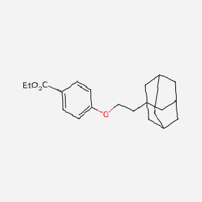 CCOC(=O)c1ccc(OCCC23CC4CC(CC(C4)C2)C3)cc1